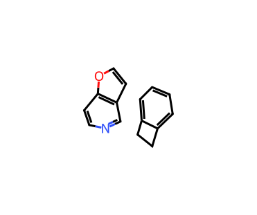 c1cc2occc2cn1.c1ccc2c(c1)CC2